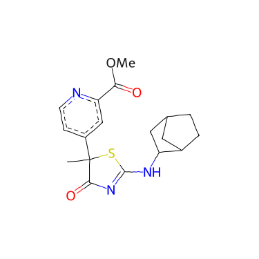 COC(=O)c1cc(C2(C)SC(NC3CC4CCC3C4)=NC2=O)ccn1